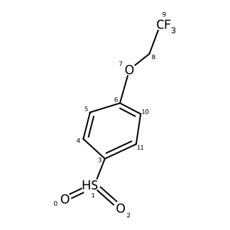 O=[SH](=O)c1ccc(OCC(F)(F)F)cc1